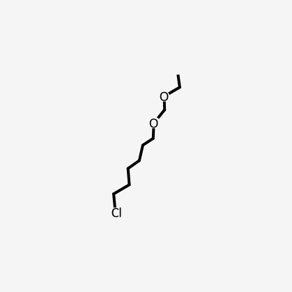 CCOCOCCCCCCCl